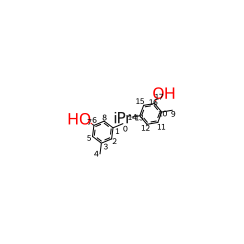 Cc1cc(C)cc(O)c1.Cc1ccc(C(C)C)cc1O